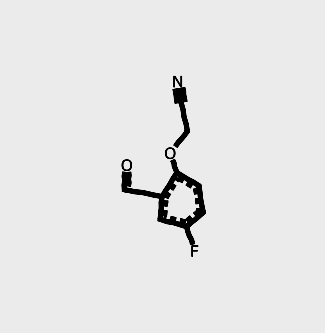 N#CCOc1ccc(F)cc1C=O